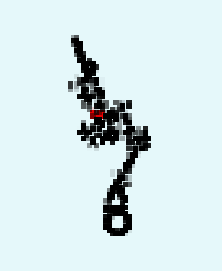 CCCCCCc1cccc([C@H](O)[C@@H](C)NC(=O)[C@H](C)[C@@H](OC)[C@@H]2CCCN2C(=O)C[C@@H](OC)[C@H]([C@@H](C)CC)N(C)C(=O)[C@@H](NC(=O)C(C(C)C)N(C)C(=O)OCc2ccc(NC(=O)[C@H](CCCNC(N)=O)NC(=O)[C@@H](NC(=O)CCCCCNC(=O)Cc3cc4nc(c3)CSC3(CC)C5CCCCCCCCCC(C5)C3(C)SC4)C(C)C)cc2)C(C)C)c1